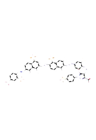 Nc1c(/N=N/c2ccc3c(O)c(/N=N/c4cc(Cl)c(/N=N\c5c(C(=O)O)nn(-c6ccc(S(=O)(=O)O)cc6)c5O)c(S(=O)(=O)O)c4)c(S(=O)(=O)O)cc3c2S(=O)(=O)O)cc(S(=O)(=O)O)c2ccc(/N=N/c3ccc([N+](=O)[O-])cc3S(=O)(=O)O)c(O)c12